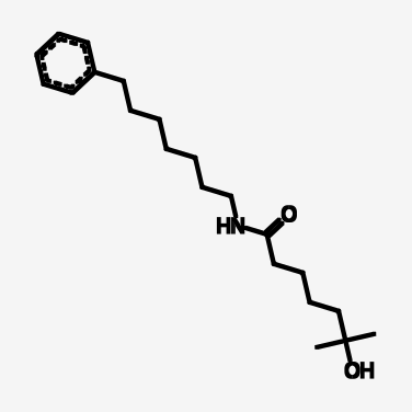 CC(C)(O)CCCCC(=O)NCCCCCCCc1ccccc1